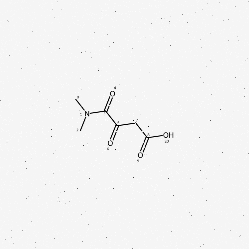 CN(C)C(=O)C(=O)CC(=O)O